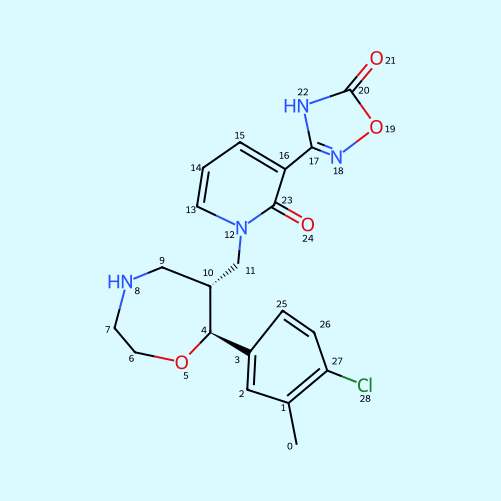 Cc1cc([C@H]2OCCNC[C@@H]2Cn2cccc(-c3noc(=O)[nH]3)c2=O)ccc1Cl